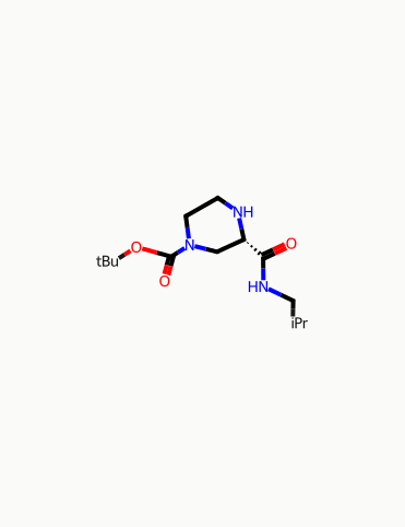 CC(C)CNC(=O)[C@@H]1CN(C(=O)OC(C)(C)C)CCN1